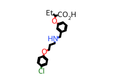 CCC(Oc1cccc(CNCCCOc2ccc(Cl)cc2)c1)C(=O)O